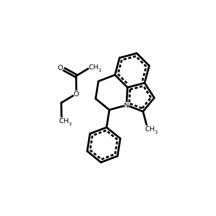 CCOC(C)=O.Cc1cc2cccc3c2n1C(c1ccccc1)CC3